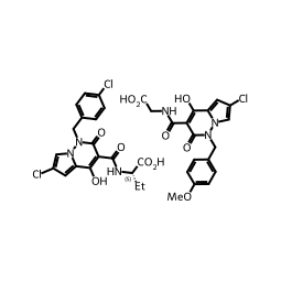 CC[C@H](NC(=O)c1c(O)c2cc(Cl)cn2n(Cc2ccc(Cl)cc2)c1=O)C(=O)O.COc1ccc(Cn2c(=O)c(C(=O)NCC(=O)O)c(O)c3cc(Cl)cn32)cc1